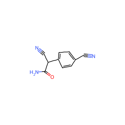 N#Cc1ccc(C(C#N)C(N)=O)cc1